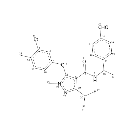 CCc1cc(Oc2c(C(=O)NC(C)c3ccc(C=O)cc3)c(C(F)F)nn2C)ccc1C